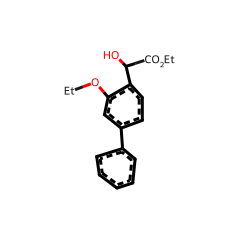 CCOC(=O)C(O)c1ccc(-c2ccccc2)cc1OCC